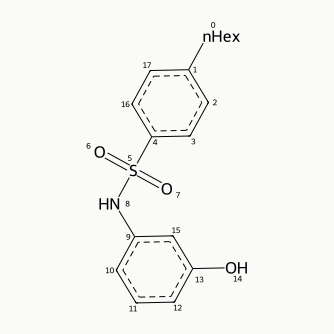 CCCCCCc1ccc(S(=O)(=O)Nc2cccc(O)c2)cc1